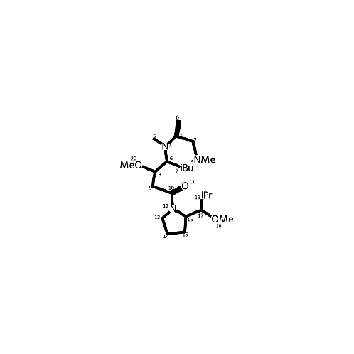 C=C(CNC)N(C)C(C(C)CC)C(CC(=O)N1CCCC1C(OC)C(C)C)OC